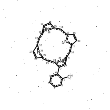 Clc1ccccc1-c1cc2cc3nc(cc4ccc(cc5nc(cc1[nH]2)C=C5)[nH]4)C=C3